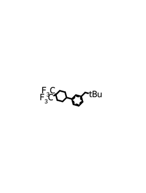 CC(C)(C)Cc1cccc(C2CCC(C(F)(F)F)(C(F)(F)F)CC2)c1